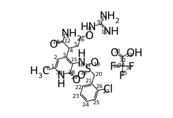 Cc1cc(C(CCONC(=N)N)C(N)=O)c(NS(=O)(=O)Cc2ccccc2Cl)c(=O)[nH]1.O=C(O)C(F)(F)F